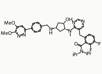 COc1cc(-c2ccc(CN[C@H]3C[C@@H](O)[C@@H](N(C)c4ncncc4Cc4ccc(F)c(F)c4C(=O)N(C(C)C)C(C)C)C3)cc2)nnc1OC